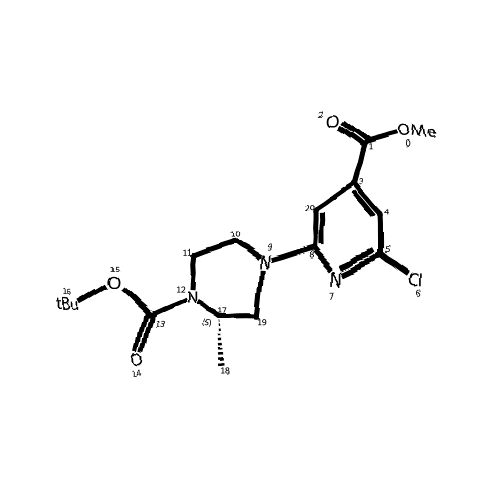 COC(=O)c1cc(Cl)nc(N2CCN(C(=O)OC(C)(C)C)[C@@H](C)C2)c1